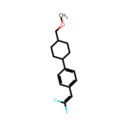 COCC1CCC(c2ccc(C=C(F)F)cc2)CC1